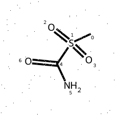 CS(=O)(=O)C(N)=O